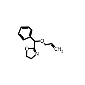 C=CCOC(C1=NCCO1)c1ccccc1